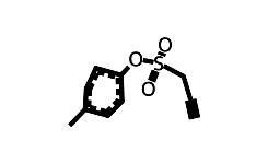 C#CCS(=O)(=O)Oc1ccc(C)cc1